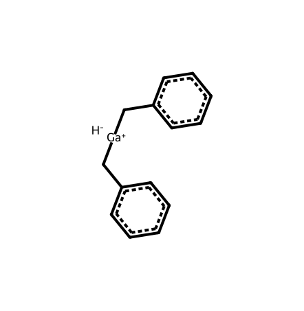 [H-].c1ccc([CH2][Ga+][CH2]c2ccccc2)cc1